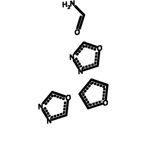 NC=O.c1ccoc1.c1nnco1.c1nnco1